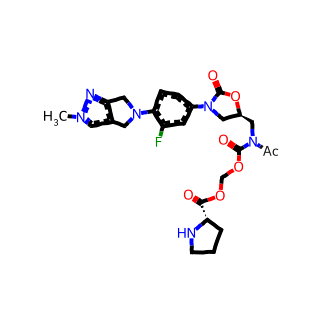 CC(=O)N(C[C@H]1CN(c2ccc(N3Cc4cn(C)nc4C3)c(F)c2)C(=O)O1)C(=O)OCOC(=O)[C@@H]1CCCN1